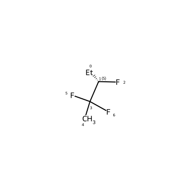 [CH2]C[C@H](F)C(C)(F)F